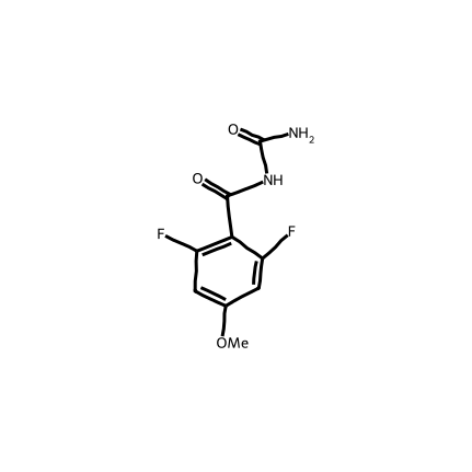 COc1cc(F)c(C(=O)NC(N)=O)c(F)c1